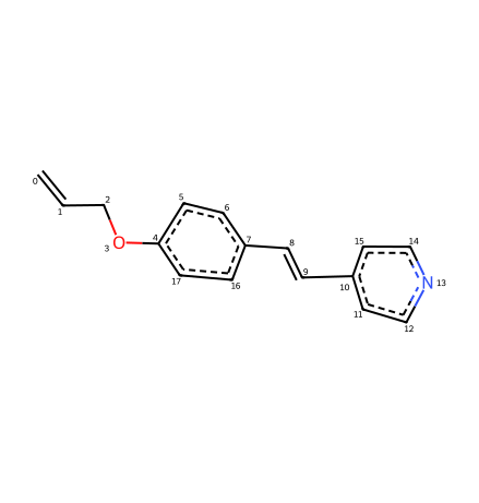 C=CCOc1ccc(C=Cc2ccncc2)cc1